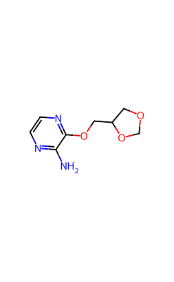 Nc1nccnc1OCC1COCO1